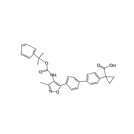 Cc1noc(-c2ccc(-c3ccc(C4(C(=O)O)CC4)cc3)cc2)c1NC(=O)OC(C)(C)c1ccccc1